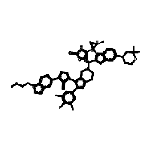 COCCn1ncc2cc(-n3ccn(-c4c5c(nn4-c4cc(C)c(F)c(C)c4)CCN(C(=O)c4cc6cc(C7CCOC(C)(C)C7)ccc6n4[C@@]4(c6noc(=O)[nH]6)C[C@@H]4C)C5)c3=O)ccc21